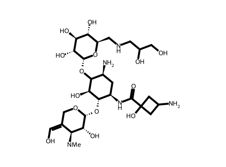 CN[C@H]1/C(=C\O)CO[C@H](O[C@H]2[C@H](NC(=O)C3(O)CC(N)C3)C[C@H](N)C(O[C@H]3O[C@H](CNCC(O)CO)[C@@H](O)[C@H](O)[C@H]3O)[C@@H]2O)[C@@H]1O